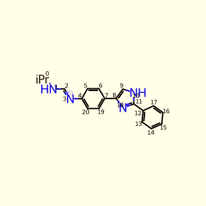 CC(C)N/C=N/c1ccc(-c2c[nH]c(-c3ccccc3)n2)cc1